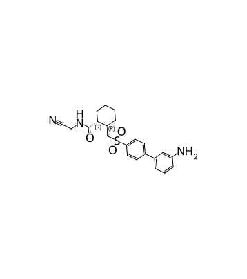 N#CCNC(=O)[C@@H]1CCCC[C@H]1CS(=O)(=O)c1ccc(-c2cccc(N)c2)cc1